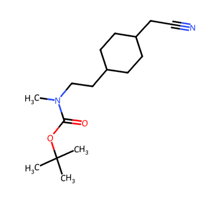 CN(CCC1CCC(CC#N)CC1)C(=O)OC(C)(C)C